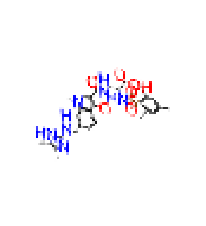 Cc1cc(C)c(S(=O)(=O)NC(CNC(=O)c2cn(C)c3cc(CNc4nc(C)c(C)[nH]4)ccc3c2=O)C(=O)O)c(C)c1